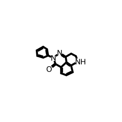 O=c1c2cccc3c2c(nn1-c1ccccc1)CCN3